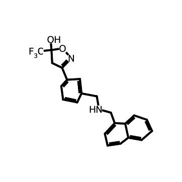 OC1(C(F)(F)F)CC(c2cccc(CNCc3cccc4ccccc34)c2)=NO1